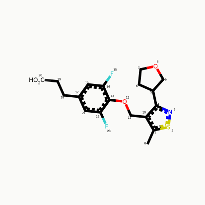 Cc1snc(C2CCOC2)c1COc1c(F)cc(CCC(=O)O)cc1F